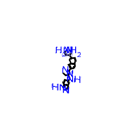 N/C=C\C(=C/N)C1CCc2ccc(C3=NCCC(Nc4ccc5[nH]ncc5c4)=N3)cc2C1